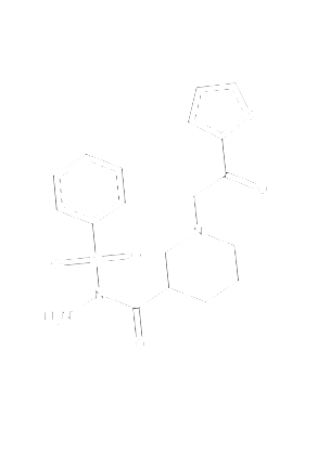 NN(C(=O)C1CCCN(CC(=O)c2cccs2)C1)S(=O)(=O)c1ccccc1